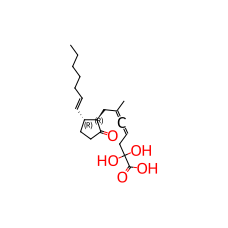 CCCCCC=C[C@H]1CCC(=O)[C@@H]1CC(C)=C=CCC(O)(O)C(=O)O